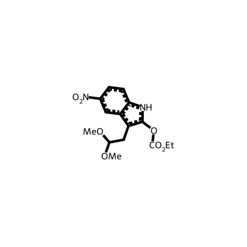 CCOC(=O)Oc1[nH]c2ccc([N+](=O)[O-])cc2c1CC(OC)OC